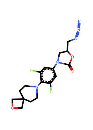 [N-]=[N+]=NCC1CN(c2cc(F)c(N3CCC4(CC3)COC4)c(F)c2)C(=O)O1